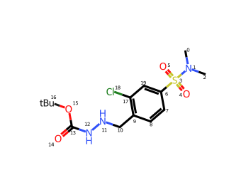 CN(C)S(=O)(=O)c1ccc(CNNC(=O)OC(C)(C)C)c(Cl)c1